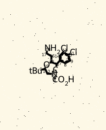 CC(C)(C)C1CN(C(=O)O)CC(c2ccc(Cl)c(Cl)c2)C(CCN)O1